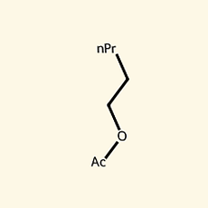 C[CH]CCCOC(C)=O